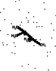 CCCCCCCCCC(CCCCCCCC(=O)OC(CCCCCCCC)CCCCCCCC)OS(C)(=O)=O